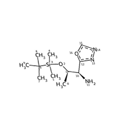 C[C@@H](O[Si](C)(C)C(C)(C)C)[C@H](N)c1nnco1